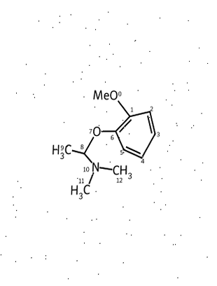 COc1ccc[c]c1OC(C)N(C)C